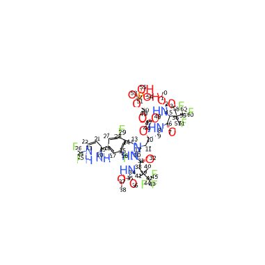 COC(=O)NC(C(=O)NC[C@H](CN(Cc1c(F)cc(C(=N)/C=C\NC(F)F)cc1F)NC(=O)[C@@H](NC(=O)OC)C(C)(C)C(F)(F)F)OC(=O)OCOP(=O)(O)O)C(C)(C)C(F)(F)F